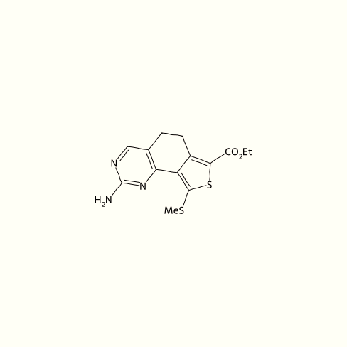 CCOC(=O)c1sc(SC)c2c1CCc1cnc(N)nc1-2